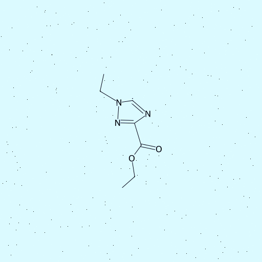 CCOC(=O)c1n[c]n(CC)n1